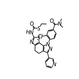 CCSC(=O)Nc1nc2c(s1)-c1c(c(-c3cccnc3)nn1-c1ccc(C(=O)N(C)C)cc1Cl)CC2